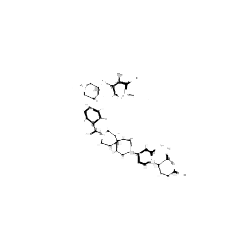 CN1C[C@H](Nc2cnn(C)c(=O)c2Br)C[C@H](c2ccc(C(=O)N3CCC4(CC3)CCN(c3ccn(C5CCC(=O)NC5=O)c(=O)c3)CC4)cc2)C1